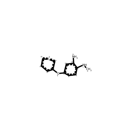 CNc1ccc(Oc2ccccc2)cc1N